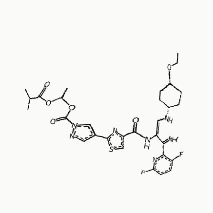 CCO[C@H]1CC[C@H](N/C=C(/NC(=O)c2csc(-c3cnn(C(=O)OC(C)OC(=O)C(C)C)c3)n2)C(=N)c2nc(F)ccc2F)CC1